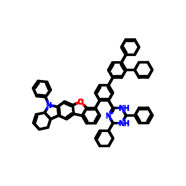 C1=CCCC(c2ccc(-c3ccc(-c4cccc5c4oc4cc6c(cc45)C4CCC=CC4N6c4ccccc4)c(C4=NC(C5C=CCCC5)NC(c5ccccc5)N4)c3)cc2C2C=CCCC2)=C1